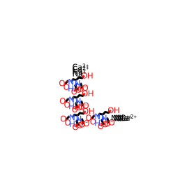 O=C([O-])CNCC(CCO)N(CC(=O)[O-])CC(=O)[O-].O=C([O-])CNCC(CCO)N(CC(=O)[O-])CC(=O)[O-].O=C([O-])CNCC(CCO)N(CC(=O)[O-])CC(=O)[O-].O=C([O-])CNCC(CCO)N(CC(=O)[O-])CC(=O)[O-].[Ca+2].[Ca+2].[Ca+2].[Na+].[Na+].[Na+].[Na+].[Na+].[Na+]